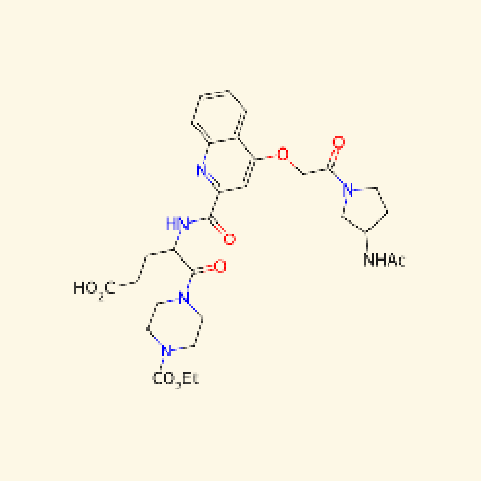 CCOC(=O)N1CCN(C(=O)C(CCC(=O)O)NC(=O)c2cc(OCC(=O)N3CCC(NC(C)=O)C3)c3ccccc3n2)CC1